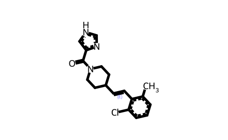 Cc1cccc(Cl)c1/C=C/C1CCN(C(=O)c2c[nH]cn2)CC1